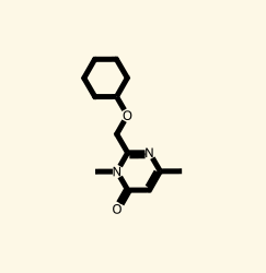 Cc1cc(=O)n(C)c(COC2CCCCC2)n1